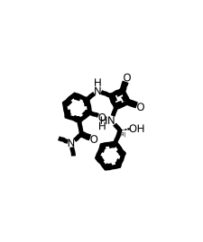 CN(C)C(=O)c1cccc(Nc2c(N[C@H](O)c3ccccc3)c(=O)c2=O)c1O